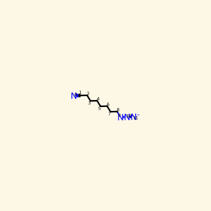 N#CCCCCCCCN=[N+]=[N-]